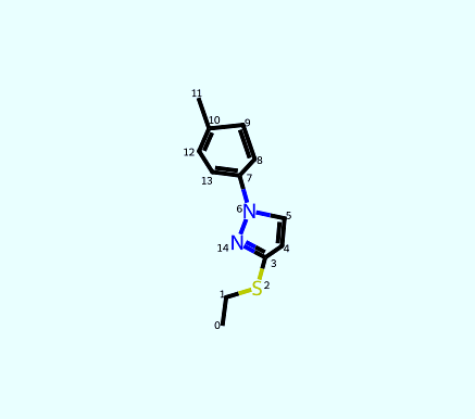 CCSc1ccn(-c2ccc(C)cc2)n1